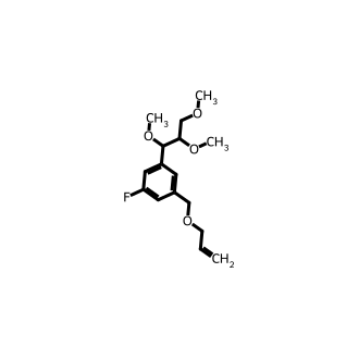 C=CCOCc1cc(F)cc(C(OC)C(COC)OC)c1